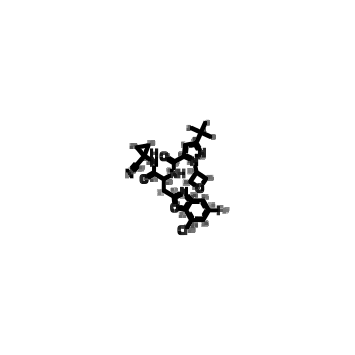 CC(C)(C)c1cc(C(=O)NC(Cc2nc3cc(F)cc(Cl)c3o2)C(=O)NC2(C#N)CC2)n(C2COC2)n1